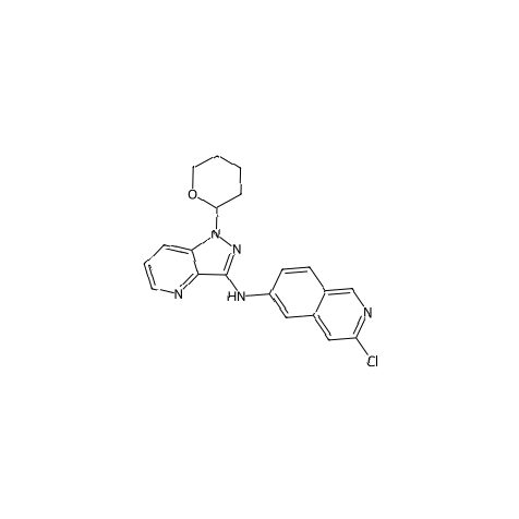 Clc1cc2cc(Nc3nn(C4CCCCO4)c4cccnc34)ccc2cn1